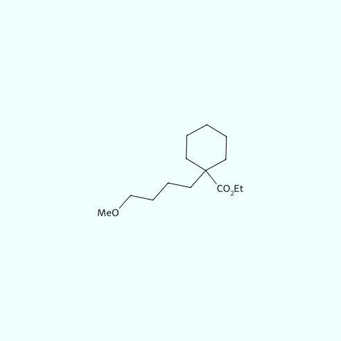 CCOC(=O)C1(CCCCOC)CCCCC1